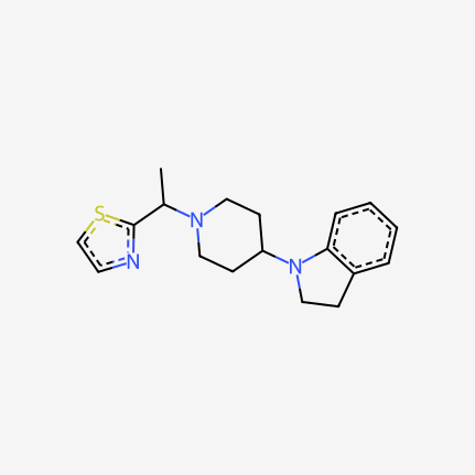 CC(c1nccs1)N1CCC(N2CCc3ccccc32)CC1